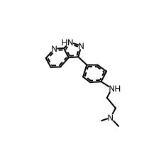 CN(C)CCNc1ccc(-c2n[nH]c3ncccc23)cc1